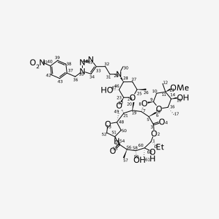 CC[C@H]1OC(=O)[C@H](C)[C@@H](O[C@H]2C[C@@](C)(OC)[C@@H](O)[C@H](C)O2)[C@H](C)[C@@H](O[C@@H]2O[C@H](C)C[C@H](N(C)CCc3cn(Cc4ccc([N+](=O)[O-])cc4)nn3)[C@H]2O)[C@@]2(C)C[C@@H](CO2)C(=O)[C@H](C)[C@@H](O)[C@]1(C)O